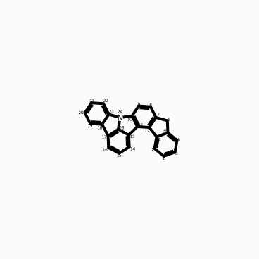 c1ccc2c(c1)Cc1ccc3c(c1-2)c1cccc2c4ccccc4n3c21